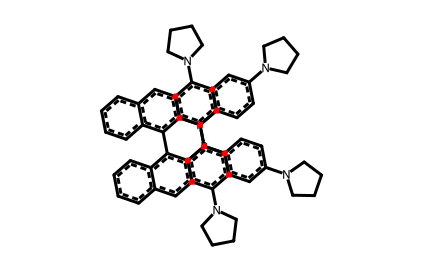 c1ccc2c(-c3c(P(c4ccc(N5CCCC5)cc4)c4ccc(N5CCCC5)cc4)ccc4ccccc34)c(P(c3ccc(N4CCCC4)cc3)c3ccc(N4CCCC4)cc3)ccc2c1